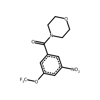 O=C(c1cc(OC(F)(F)F)cc([N+](=O)[O-])c1)N1CCOCC1